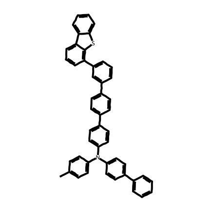 Cc1ccc(N(c2ccc(-c3ccccc3)cc2)c2ccc(-c3ccc(-c4cccc(-c5cccc6c5sc5ccccc56)c4)cc3)cc2)cc1